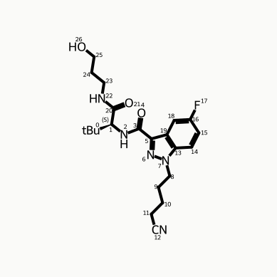 CC(C)(C)[C@H](NC(=O)c1nn(CCCCC#N)c2ccc(F)cc12)C(=O)NCCCO